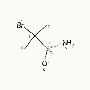 CC(C)(Br)[S@+](N)[O-]